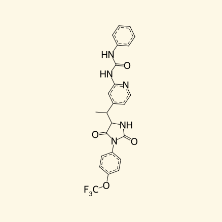 CC(c1ccnc(NC(=O)Nc2ccccc2)c1)C1NC(=O)N(c2ccc(OC(F)(F)F)cc2)C1=O